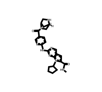 CNC(=O)c1cc2cnc(Nc3ccc(C(=O)N4C[C@@H]5CC4CN5)cn3)nc2n1C1CCCC1